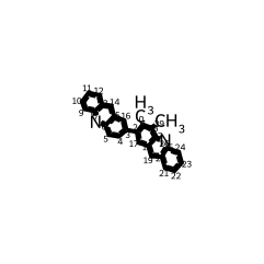 Cc1c(-c2ccc3nc4ccccc4cc3c2)cc2cc3ccccc3nc2c1C